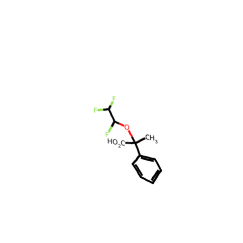 CC(OC(F)C(F)F)(C(=O)O)c1ccccc1